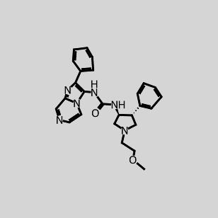 COCCN1C[C@@H](NC(=O)Nc2c(-c3ccccc3)nc3cnccn23)[C@H](c2ccccc2)C1